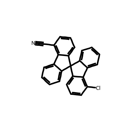 N#Cc1cccc2c1-c1ccccc1C21c2ccccc2-c2c(Cl)cccc21